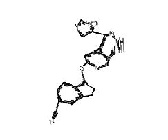 N#Cc1ccc2c(c1)CCC2Oc1cc2c(-c3cnco3)n[nH]c2cn1